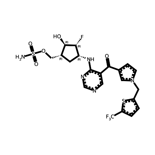 NS(=O)(=O)OC[C@H]1C[C@@H](Nc2ncncc2C(=O)c2ccn(Cc3ccc(C(F)(F)F)s3)c2)[C@@H](F)[C@@H]1O